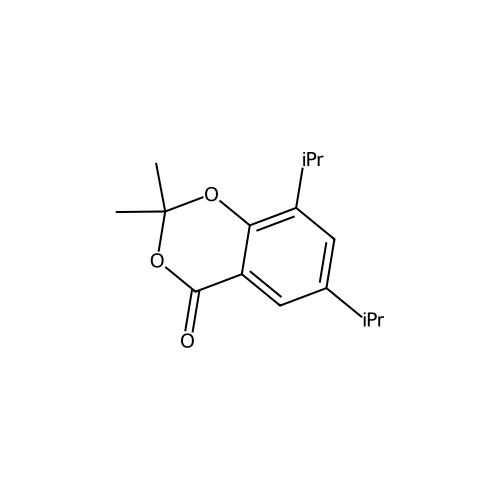 CC(C)c1cc2c(c(C(C)C)c1)OC(C)(C)OC2=O